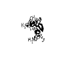 COc1cc2c(cc1OC)C(=C(Nc1ccc(N(CC(N)=O)C(C)=O)cc1)c1ccccc1)C(=O)N2